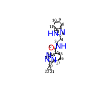 O=C(NCCc1nc2ccccc2[nH]1)c1cccn2c(C3CC3)nnc12